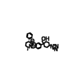 C[C@H]1CC[C@H](c2ccccc2)S(=O)(=O)N1Cc1ccc(C2(CO)CCC(n3cnnc3)CC2)cc1